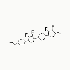 CCCC1CCC(C2CCC(C3CCC(C4CCC(CC)C(F)C4F)CC3)C(F)C2F)CC1